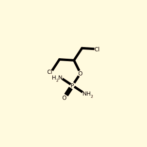 NP(N)(=O)OC(CCl)CCl